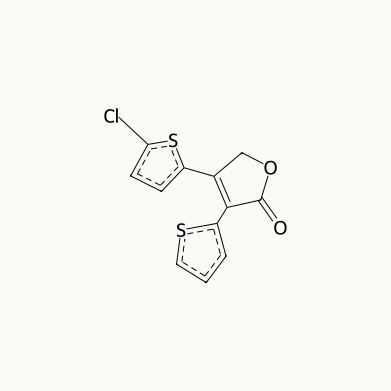 O=C1OCC(c2ccc(Cl)s2)=C1c1cccs1